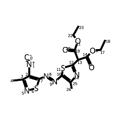 [C-]#[N+]c1c(C)nsc1/N=N/c1sc(C(C(=O)OCC)C(=O)OCC)nc1C